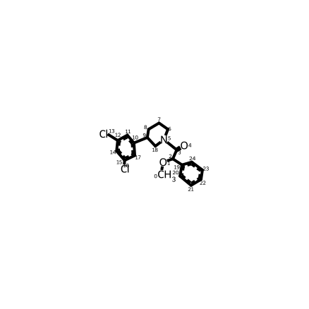 COC(C(=O)N1CCCC(c2cc(Cl)cc(Cl)c2)C1)c1ccccc1